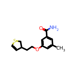 Cc1cc(OCCC2C=CSC2)cc(C(N)=O)c1